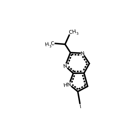 CC(C)c1ncc2cc(I)[nH]c2n1